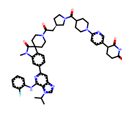 CC(C)n1cnc2cc(-c3ccc4c(c3)N(C)C(=O)C43CCN(C(=O)C[C@H]4CCN(C(=O)C5CCN(c6ccc(C7CCC(=O)NC7=O)cn6)CC5)C4)CC3)nc(Nc3ccccc3F)c21